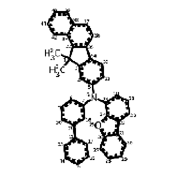 CC1(C)c2cc(N(c3cccc(-c4ccccc4)c3)c3cccc4c3oc3ccccc34)ccc2-c2ccc3ccccc3c21